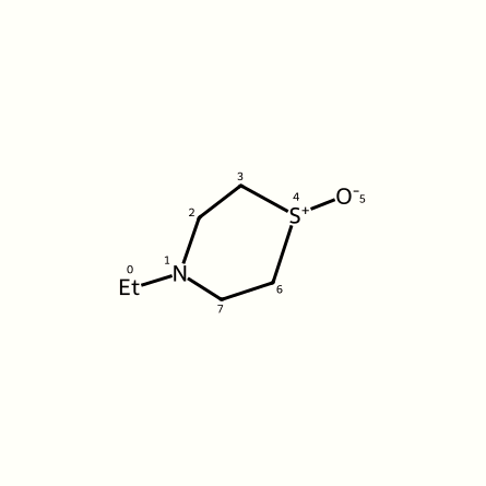 [CH2]CN1CC[S+]([O-])CC1